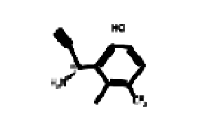 C#C[C@@H](N)c1cccc(C(F)(F)F)c1C.Cl